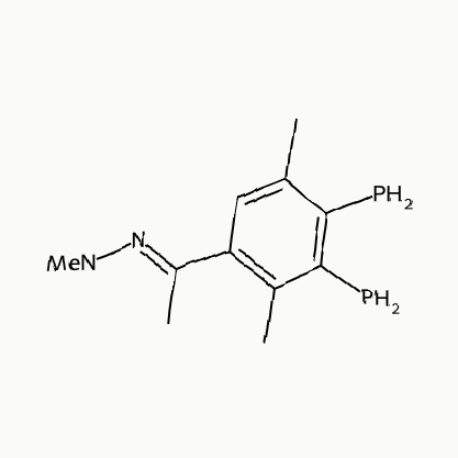 CN/N=C(\C)c1cc(C)c(P)c(P)c1C